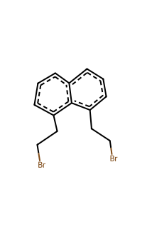 BrCCc1cccc2cccc(CCBr)c12